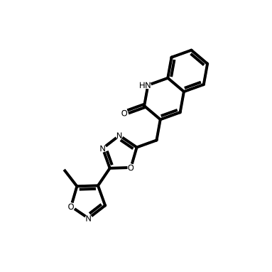 Cc1oncc1-c1nnc(Cc2cc3ccccc3[nH]c2=O)o1